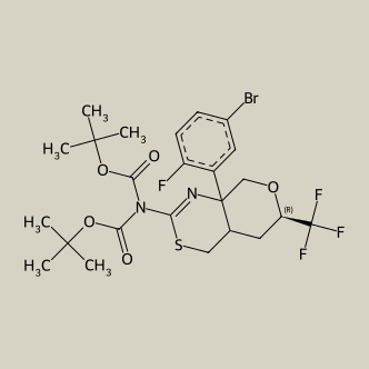 CC(C)(C)OC(=O)N(C(=O)OC(C)(C)C)C1=NC2(c3cc(Br)ccc3F)CO[C@@H](C(F)(F)F)CC2CS1